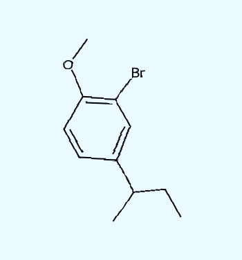 CCC(C)c1ccc(OC)c(Br)c1